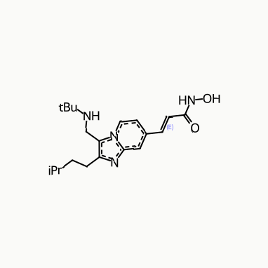 CC(C)CCc1nc2cc(/C=C/C(=O)NO)ccn2c1CNC(C)(C)C